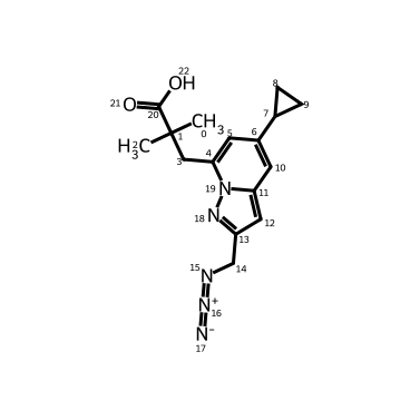 CC(C)(Cc1cc(C2CC2)cc2cc(CN=[N+]=[N-])nn12)C(=O)O